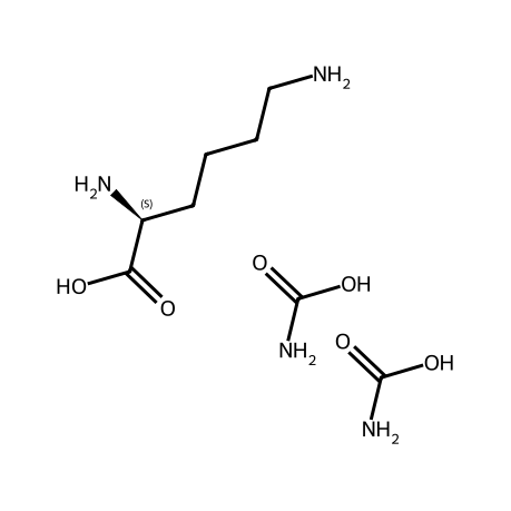 NC(=O)O.NC(=O)O.NCCCC[C@H](N)C(=O)O